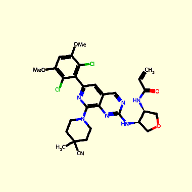 C=CC(=O)N[C@H]1COC[C@H]1Nc1ncc2cc(-c3c(Cl)c(OC)cc(OC)c3Cl)nc(N3CCC(C)(C#N)CC3)c2n1